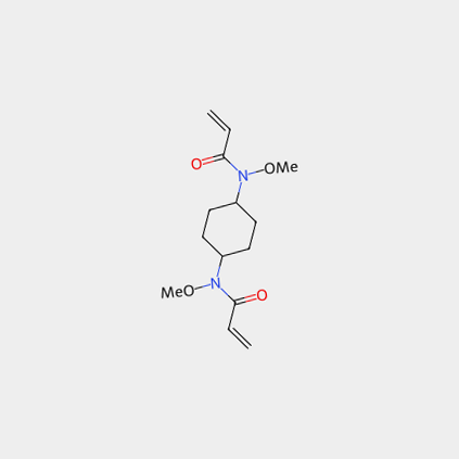 C=CC(=O)N(OC)C1CCC(N(OC)C(=O)C=C)CC1